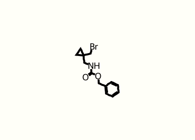 O=C(NCC1(CBr)CC1)OCc1ccccc1